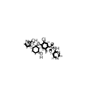 Cn1nccc1[C@H]1CC[C@H](O)C[C@]1(C)Oc1cc(F)c(S(=O)(=O)Nc2ccncn2)cc1Cl